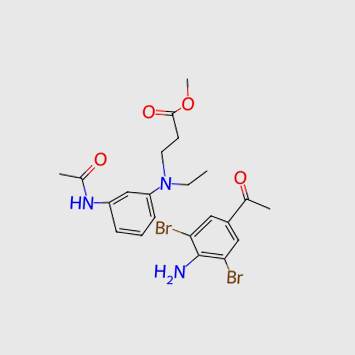 CC(=O)c1cc(Br)c(N)c(Br)c1.CCN(CCC(=O)OC)c1cccc(NC(C)=O)c1